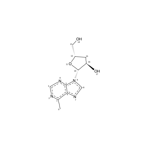 Cc1ncnc2c1ncn2[C@@H]1O[C@H](CO)C[C@H]1O